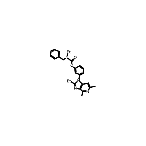 CCc1nc2c(C)nc(C)cc2n1-c1cccc(OC(=O)N(CC)Cc2ccccc2)c1